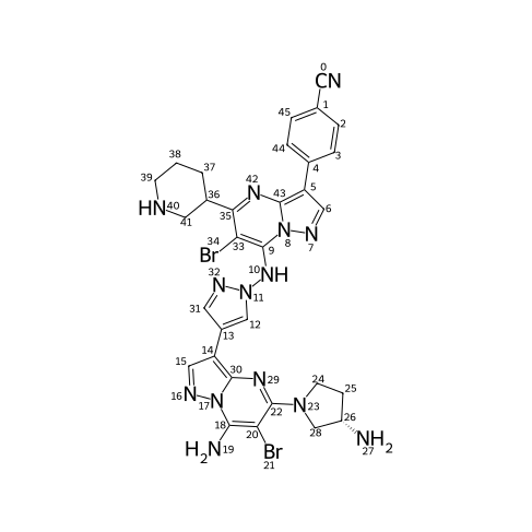 N#Cc1ccc(-c2cnn3c(Nn4cc(-c5cnn6c(N)c(Br)c(N7CC[C@H](N)C7)nc56)cn4)c(Br)c(C4CCCNC4)nc23)cc1